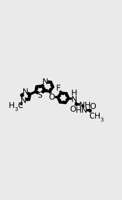 CC(=O)NNC(=O)Nc1ccc(Oc2ccnc3cc(-c4cn(C)cn4)sc23)c(F)c1